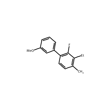 CCc1c(C)ccc(-c2cccc(OC)c2)c1F